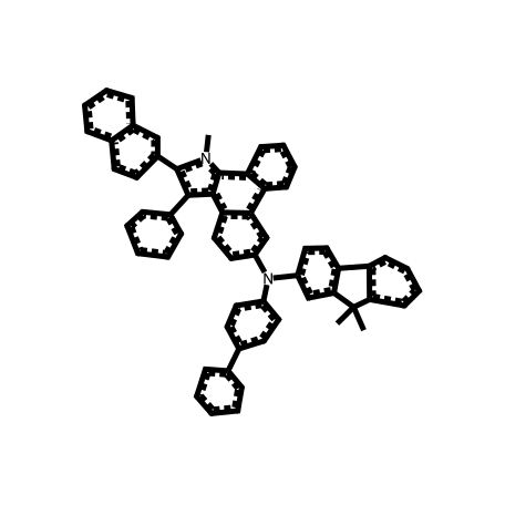 Cn1c(-c2ccc3ccccc3c2)c(-c2ccccc2)c2c3ccc(N(c4ccc(-c5ccccc5)cc4)c4ccc5c(c4)C(C)(C)c4ccccc4-5)cc3c3ccccc3c21